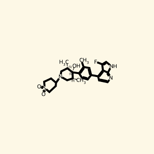 Cc1cc(-c2ccnc3[nH]cc(F)c23)ccc1[C@@]1(O)[C@H](C)CN(C2CCS(=O)(=O)CC2)C[C@@H]1C